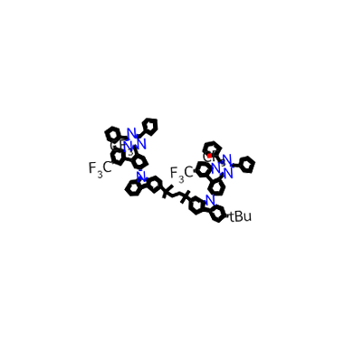 CC(C)(C)c1ccc2c3ccc(C(C)(C)CCC(C)(C)c4ccc5c(c4)c4ccccc4n5-c4ccc(-c5nc(-c6ccccc6)nc(-c6ccccc6)n5)c(-c5cc(C(F)(F)F)cc(C(F)(F)F)c5)c4)cc3n(-c3ccc(-c4nc(-c5ccccc5)nc(-c5ccccc5)n4)c(-c4cc(C(F)(F)F)cc(C(F)(F)F)c4)c3)c2c1